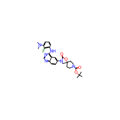 CN(C)c1cccc(Nc2ncnc3ccc(N4CC5(CCN(C(=O)OC(C)(C)C)CC5)OC4=O)cc23)c1F